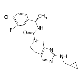 C[C@@H](NC(=O)N1CCc2cnc(NCC3CC3)nc2C1)c1ccc(Cl)c(F)c1